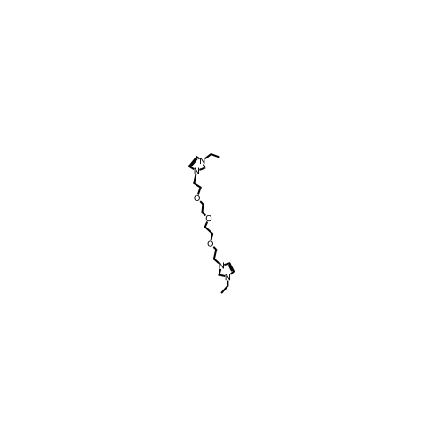 CCN1C=CN(CCOCCOCCOCCN2C=CN(CC)C2)C1